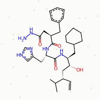 C=C[C@@H](C[C@@H](O)[C@H](CC1CCCCC1)NC(=O)[C@H](Cc1c[nH]cn1)NC(=O)[C@@H](CC(=O)NN)Cc1ccccc1)C(C)C